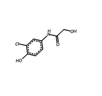 O=C(CO)Nc1ccc(O)c(Cl)c1